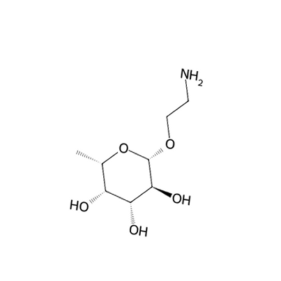 C[C@@H]1O[C@H](OCCN)[C@@H](O)[C@H](O)[C@@H]1O